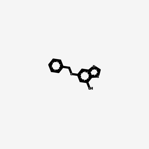 Oc1cc(OCc2ccccc2)cc2ncsc12